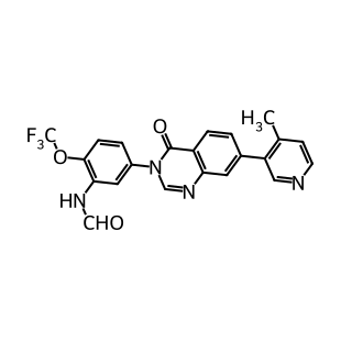 Cc1ccncc1-c1ccc2c(=O)n(-c3ccc(OC(F)(F)F)c(NC=O)c3)cnc2c1